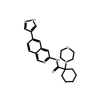 O=C(Nc1cc2cc(-c3cn[nH]c3)ccc2cn1)C1(N2CCOCC2)CCCCC1